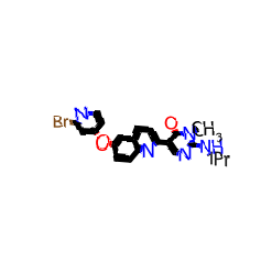 CC(C)Nc1ncc(-c2ccc3cc(Oc4ccnc(Br)c4)ccc3n2)c(=O)n1C